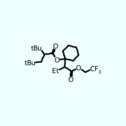 CCC(C(=O)OCC(F)(F)F)C1(OC(=O)C(CC(C)(C)C)C(C)(C)C)CCCCC1